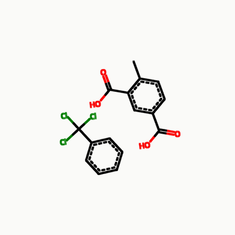 Cc1ccc(C(=O)O)cc1C(=O)O.ClC(Cl)(Cl)c1ccccc1